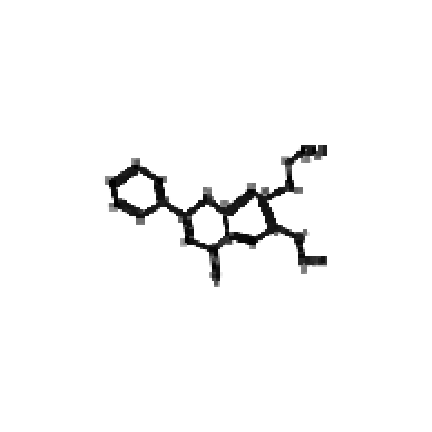 CCCCCOc1cc2c(=O)cc(-c3ccccc3)oc2cc1OCC(=O)O